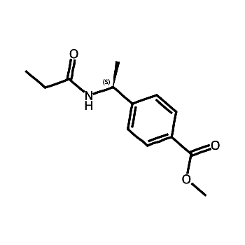 CCC(=O)N[C@@H](C)c1ccc(C(=O)OC)cc1